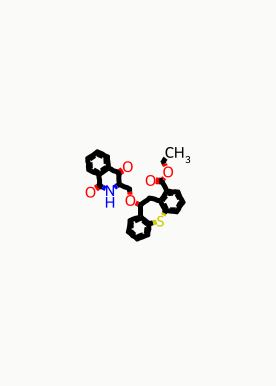 CCOC(=O)c1cccc2c1CC(OCC1NC(=O)c3ccccc3C1=O)c1ccccc1S2